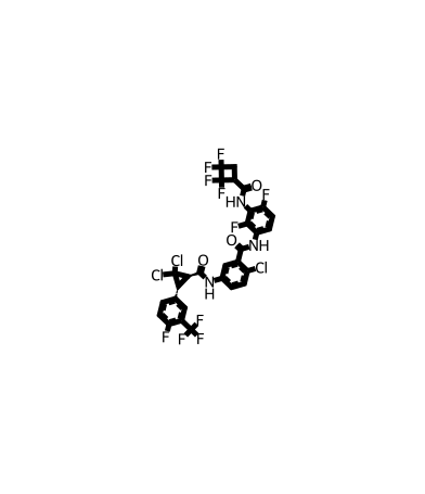 O=C(Nc1ccc(F)c(NC(=O)C2CC(F)(F)C2(F)F)c1F)c1cc(NC(=O)[C@H]2[C@H](c3ccc(F)c(C(F)(F)F)c3)C2(Cl)Cl)ccc1Cl